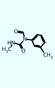 CNC(=O)N(C=O)c1cccc(C)c1